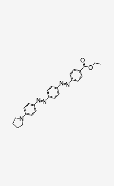 CCOC(=O)c1ccc(N=Nc2ccc(N=Nc3ccc(N4CCCC4)cc3)cc2)cc1